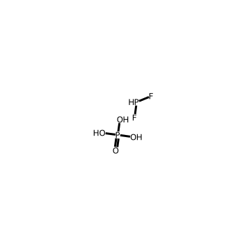 FPF.O=P(O)(O)O